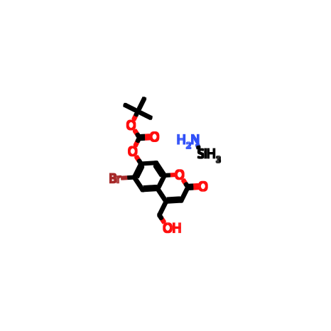 CC(C)(C)OC(=O)Oc1cc2oc(=O)cc(CO)c2cc1Br.N[SiH3]